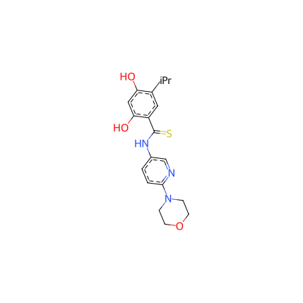 CC(C)c1cc(C(=S)Nc2ccc(N3CCOCC3)nc2)c(O)cc1O